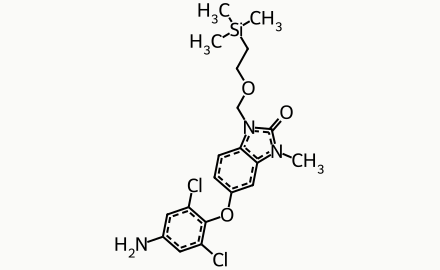 Cn1c(=O)n(COCC[Si](C)(C)C)c2ccc(Oc3c(Cl)cc(N)cc3Cl)cc21